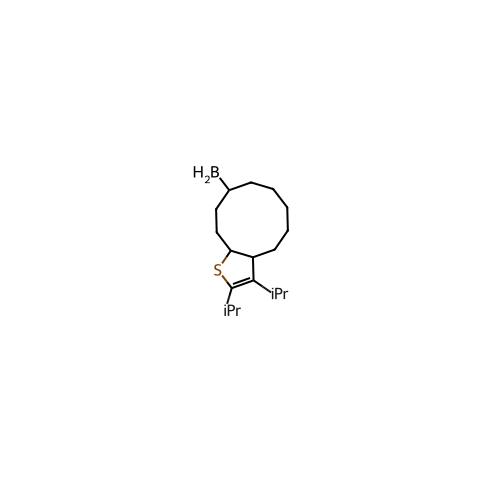 BC1CCCCCC2C(C(C)C)=C(C(C)C)SC2CC1